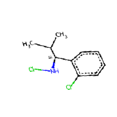 CC(C)[C@H](NCl)c1ccccc1Cl